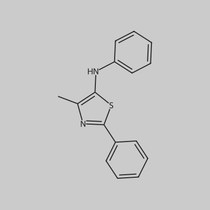 Cc1nc(-c2ccccc2)sc1Nc1ccccc1